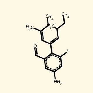 CC/C(C)=C\C(=C/C(C)CC)c1c(F)cc(N)cc1C=O